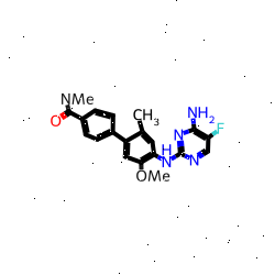 CNC(=O)c1ccc(-c2cc(OC)c(Nc3ncc(F)c(N)n3)cc2C)cc1